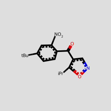 CC(C)c1oncc1C(=O)c1ccc(C(C)(C)C)cc1[N+](=O)[O-]